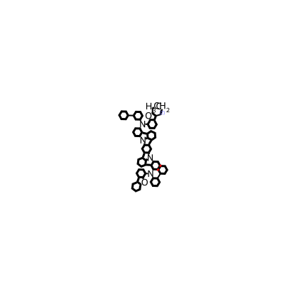 C=Cc1oc2c(N(c3cccc(-c4ccccc4)c3)c3cccc4c3c3cccc5c6cc7c(cc6n4c53)c3cccc4c5c(N(c6ccccc6-c6ccccc6)c6cccc8c6oc6ccccc68)cccc5n7c34)cccc2c1/C=C\C